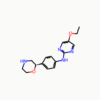 CCOc1cnc(Nc2ccc([C@@H]3CNCCO3)cc2)nc1